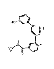 Cc1ccc(C(=O)NC2CC2)cc1/C(C=N)=C/Nc1cncc(O)c1